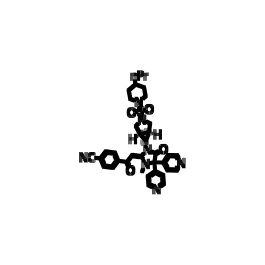 CCCC1CCN(S(=O)(=O)N2C[C@@H]3[C@H](C2)[C@H]3N2C(=O)C(c3ccncc3)(c3ccncc3)N(C)C2=CC(=O)c2ccc(C#N)cc2)CC1